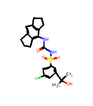 CC(C)(O)c1cc(Cl)cc(S(=O)(=O)NC(=O)Nc2c3c(cc4c2CCC4)CCC3)c1